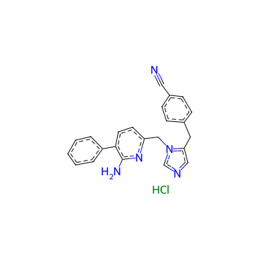 Cl.N#Cc1ccc(Cc2cncn2Cc2ccc(-c3ccccc3)c(N)n2)cc1